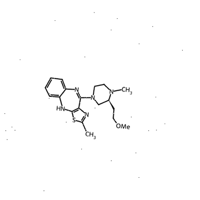 COCC[C@H]1CN(C2=Nc3ccccc3Nc3sc(C)nc32)CCN1C